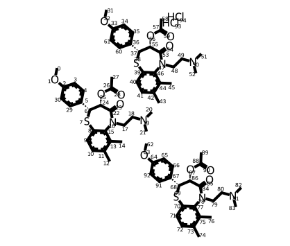 COc1ccc([C@H]2Sc3ccc(C)c(C)c3N(CCN(C)C)C(=O)[C@H]2OC(C)=O)cc1.COc1ccc([C@H]2Sc3ccc(C)c(C)c3N(CCN(C)C)C(=O)[C@H]2OC(C)=O)cc1.COc1ccc([C@H]2Sc3ccc(C)c(C)c3N(CCN(C)C)C(=O)[C@H]2OC(C)=O)cc1.Cl.Cl